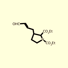 CCOC(=O)C1C(CC=CC=O)CCN1C(=O)OCC